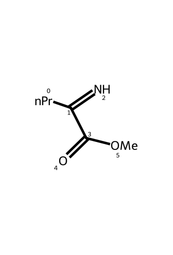 CCCC(=N)C(=O)OC